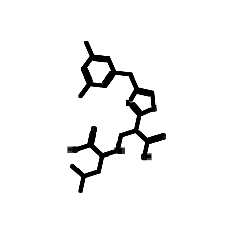 Cc1cc(C)cc(Cc2csc(C(CNC(CC(C)C)C(=O)O)C(=O)O)n2)c1